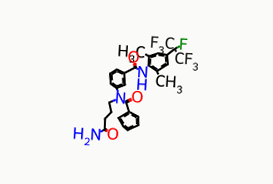 Cc1cc(C(F)(C(F)(F)F)C(F)(F)F)cc(C)c1NC(=O)c1cccc(N(CCCC(N)=O)C(=O)c2ccccc2)c1